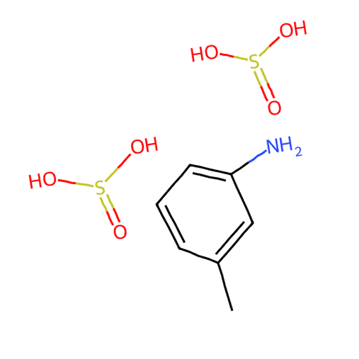 Cc1cccc(N)c1.O=S(O)O.O=S(O)O